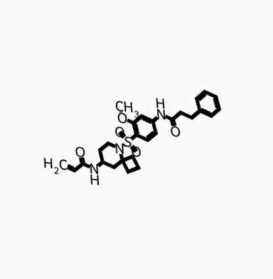 C=CC(=O)NC1CCN(S(=O)(=O)c2ccc(NC(=O)CCc3ccccc3)cc2OC)C2(CCC2)C1